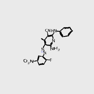 Cc1c(C#N)c(Nc2ccccc2)nc(N)c1/N=N/c1cc([N+](=O)[O-])ccc1F